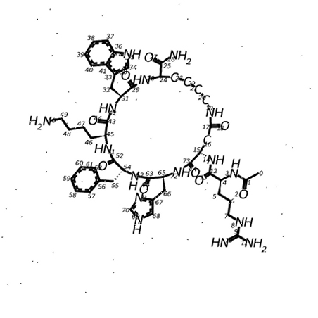 CC(=O)N[C@@H](CCCNC(=N)N)C(=O)N[C@H]1CC(=O)NCCCCC(C(N)=O)NC(=O)[C@H](Cc2c[nH]c3ccccc23)NC(=O)[C@H](CCCCN)NC(=O)[C@@H](Cc2ccccc2)NC(=O)[C@H](Cc2c[nH]cn2)NC1=O